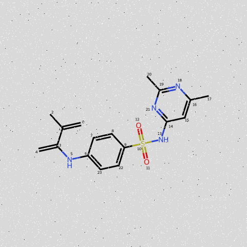 C=C(C)C(=C)Nc1ccc(S(=O)(=O)Nc2cc(C)nc(C)n2)cc1